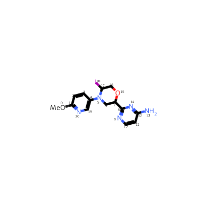 COc1ccc(N2CC(c3nccc(N)n3)OCC2I)cn1